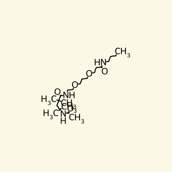 CCCCNC(=O)CCOCCCOCCNC(=O)C(C)(C)CC(C)(C)NC(C)=O